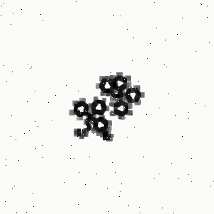 CCC[P+](c1ccccc1)(c1ccccc1)c1ccccc1.[Br-].[Br-].c1ccc(C[P+](c2ccccc2)(c2ccccc2)c2ccccc2)cc1